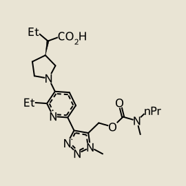 CCCN(C)C(=O)OCc1c(-c2ccc(N3CC[C@@H](C(CC)C(=O)O)C3)c(CC)n2)nnn1C